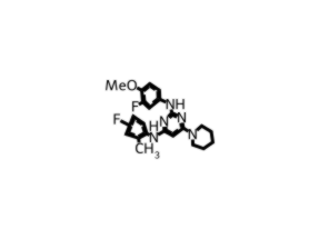 COc1ccc(Nc2nc(Nc3ccc(F)cc3C)cc(N3CCCCC3)n2)cc1F